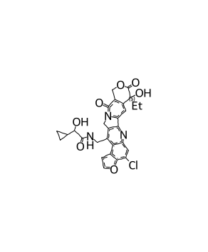 CC[C@@]1(O)C(=O)OCc2c1cc1n(c2=O)Cc2c-1nc1cc(Cl)c3occc3c1c2CNC(=O)C(O)C1CC1